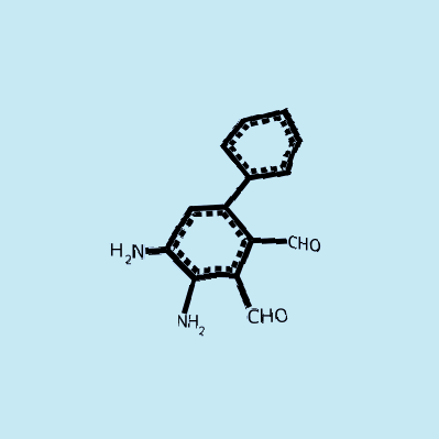 Nc1cc(-c2ccccc2)c(C=O)c(C=O)c1N